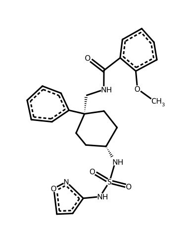 COc1ccccc1C(=O)NC[C@]1(c2ccccc2)CC[C@H](NS(=O)(=O)Nc2ccon2)CC1